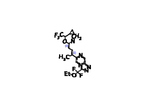 C=N/C(=C\C=C(/C)c1cn2c(C(F)(F)OCC)nnc2cn1)OC(C1CC1)C(F)(F)F